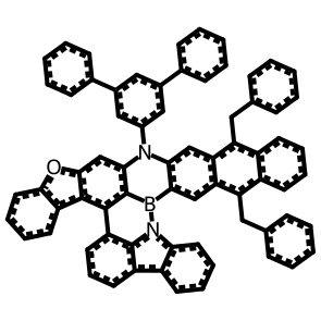 c1ccc(Cc2c3ccccc3c(Cc3ccccc3)c3cc4c(cc23)B2c3c(cc5oc6ccccc6c5c3-c3cccc5c6ccccc6n2c35)N4c2cc(-c3ccccc3)cc(-c3ccccc3)c2)cc1